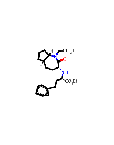 CCOC(=O)[C@H](CCc1ccccc1)N[C@@H]1CC[C@@H]2CCC[C@@H]2N(CC(=O)O)C1=O